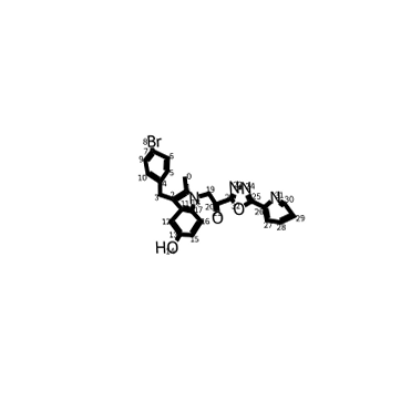 Cc1c(Cc2ccc(Br)cc2)c2cc(O)ccc2n1CC(=O)c1nnc(-c2ccccn2)o1